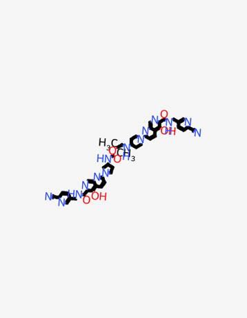 CC(C)(CNC1CCN(c2ccc3c(O)c(C(=O)NCc4ccc(C#N)nc4)ncc3n2)CC1)OC(=O)N[C@H]1CCN(c2ccc3c(O)c(C(=O)NCc4ccc(C#N)nc4)ncc3n2)C1